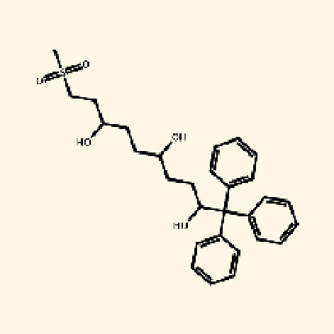 CS(=O)(=O)CCC(O)CCC(O)CCC(O)C(c1ccccc1)(c1ccccc1)c1ccccc1